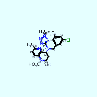 CC[C@@H]1C[C@H](N(Cc2cc(Cl)cc(C(F)(F)F)c2)c2nnn(C)n2)c2nc(C(F)(F)F)ccc2N1C(=O)O